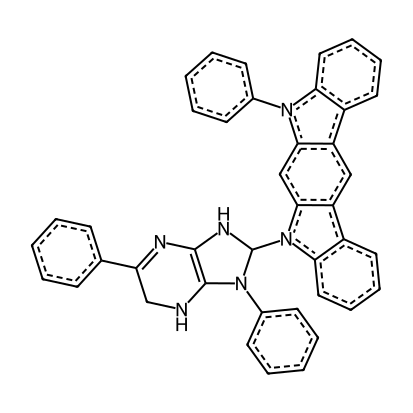 c1ccc(C2=NC3=C(NC2)N(c2ccccc2)C(n2c4ccccc4c4cc5c6ccccc6n(-c6ccccc6)c5cc42)N3)cc1